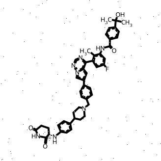 Cc1c(NC(=O)c2ccc(C(C)(C)O)cc2)cc(F)cc1-c1ncnn2cc(-c3ccc(CN4CCC(c5ccc(N[C@H]6CCC(=O)NC6=O)cc5)CC4)cc3)cc12